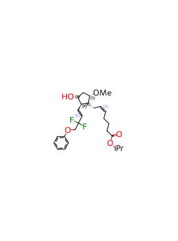 CO[C@H]1C[C@@H](O)[C@H](/C=C/C(F)(F)COc2ccccc2)[C@H]1C/C=C\CCCC(=O)OC(C)C